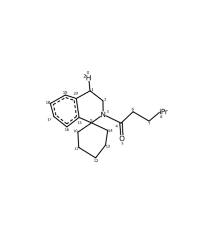 [2H]C1CN(C(=O)CCC(C)C)C2(CCCCC2)c2ccccc21